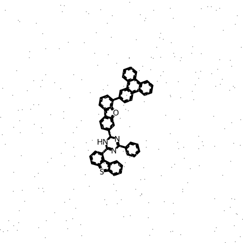 c1ccc(C2=NC(c3ccc4c(c3)oc3c(-c5ccc6c7ccccc7c7ccccc7c6c5)cccc34)NC(c3cccc4sc5ccccc5c34)=N2)cc1